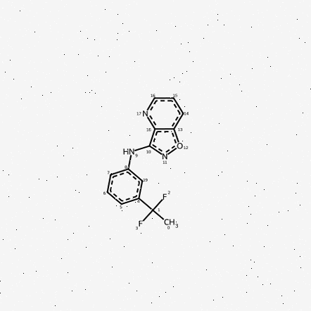 CC(F)(F)c1cccc(Nc2noc3cccnc23)c1